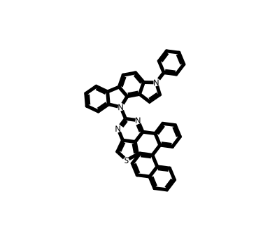 c1ccc(-n2ccc3c2ccc2c4ccccc4n(-c4nc(-c5ccccc5-c5cccc6ccccc56)c5cscc5n4)c23)cc1